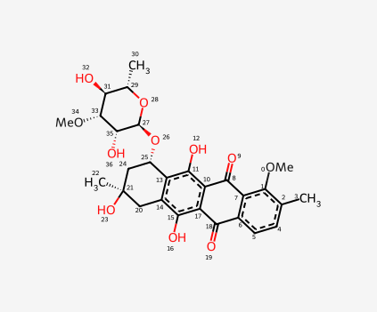 COc1c(C)ccc2c1C(=O)c1c(O)c3c(c(O)c1C2=O)C[C@@](C)(O)C[C@@H]3O[C@@H]1O[C@@H](C)[C@H](O)[C@@H](OC)[C@H]1O